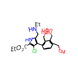 CCNCc1[nH]c(C(=O)OCC)c(Cl)c1-c1ccc(CO)c(CO)c1CO